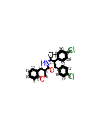 CC(NC(=O)C1COc2ccccc2C1)C(Cc1ccc(Cl)cc1)c1ccc(Cl)cc1